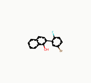 Oc1c(-c2cc(Br)ccc2F)ccc2ccccc12